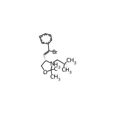 C[C](C)CN1[C@@H](/C=C(\Br)c2ccccc2)COC1(C)C